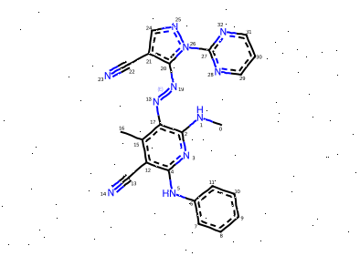 CNc1nc(Nc2ccccc2)c(C#N)c(C)c1/N=N/c1c(C#N)cnn1-c1ncccn1